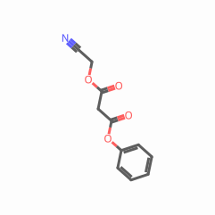 N#CCOC(=O)CC(=O)Oc1ccccc1